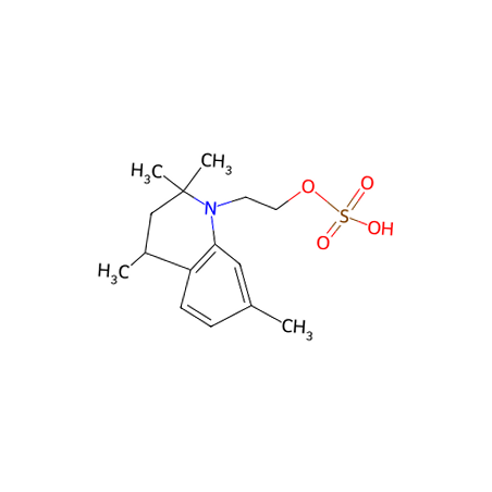 Cc1ccc2c(c1)N(CCOS(=O)(=O)O)C(C)(C)CC2C